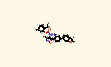 Cc1noc(-c2ccc(-c3ccc4ccoc4c3)cc2)c1NC(=O)OC(C)c1ccccc1